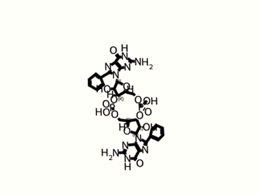 Nc1nc2c(nc(-c3ccccc3)n2[C@@H]2O[C@@H]3COP(=O)(O)OC4[C@@H](COP(=O)(O)O[C@@H]3C2O)O[C@@H](n2c(-c3ccccc3)nc3c(=O)[nH]c(N)nc32)[C@H]4O)c(=O)[nH]1